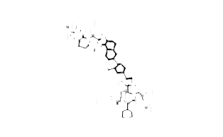 CC[C@@H]1CC(C)[C@H](NC(=O)OC)C(=O)N1[C@@H](C)c1nc2ccc3cc4c(cc3c2[nH]1)OCc1cc(-c2cnc([C@H](C)N(C[C@H](C)COC)C(=O)[C@@H](NC(=O)OC)C3CCOCC3)[nH]2)ccc1-4